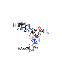 COc1cc(-c2cc(C(=O)N3CCC(C(N)=O)CC34CC4Cc3ncc(N4CCN[C@H]5C[C@H]54)cn3)[nH]n2)c(F)cn1